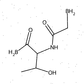 BCC(=O)NC(C(B)=O)C(C)O